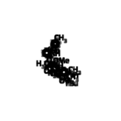 CCCCOC(=O)[C@@H]1[C@@](C)([C@H](C)C(C)C)CC[C@]2(C)[C@H]3CC[C@H]4C(C)([C@@H](OCC5(NS(=O)(=O)c6ccc(C)cc6)CCCCC5)[C@@H](C)OC)COC[C@@]4(C)C3=CC[C@@]12C